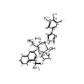 COc1cc2ccccc2c(C(N)=O)c1[C@H]1CCO[C@]12O[C@H](CO)[C@H](O)[C@H](n1cc(-c3cc(F)c(F)c(F)c3)nn1)[C@H]2O